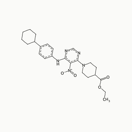 CCOC(=O)C1CCN(c2ncnc(Nc3ccc(C4CCCCC4)cc3)c2[N+](=O)[O-])CC1